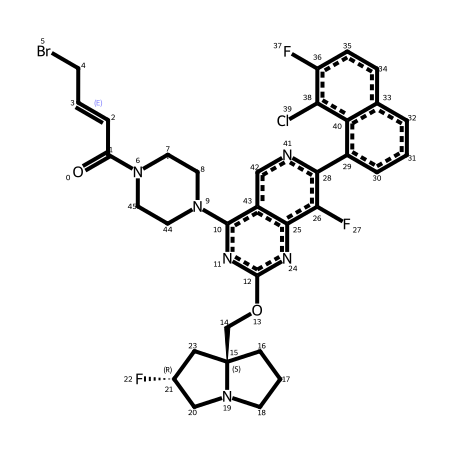 O=C(/C=C/CBr)N1[CH]CN(c2nc(OC[C@@]34CCCN3C[C@H](F)C4)nc3c(F)c(-c4cccc5ccc(F)c(Cl)c45)ncc23)CC1